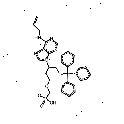 C=CCNc1ncnc2c1ncn2C(CCOCP(=O)(O)O)COC(c1ccccc1)(c1ccccc1)c1ccccc1